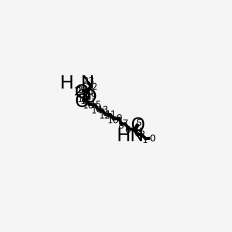 CCCNC(=O)CCCCCCCCCCCC(=O)OC(=O)CN